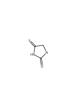 O=C1[N]CC(=S)N1